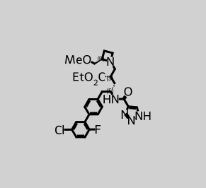 CCOC(=O)[C@@H](C[C@@H](Cc1ccc(-c2cc(Cl)ccc2F)cc1)NC(=O)c1c[nH]nn1)CN1CC[C@@H]1COC